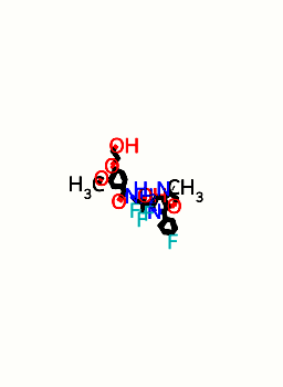 COc1cc(C(=O)NCC(O)(c2cc3c(c(-c4ccc(F)cc4)n2)OC[C@]3(C)N)C(F)(F)F)ccc1OCCO